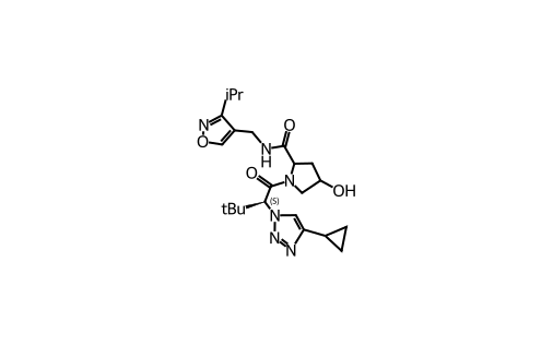 CC(C)c1nocc1CNC(=O)C1CC(O)CN1C(=O)[C@@H](n1cc(C2CC2)nn1)C(C)(C)C